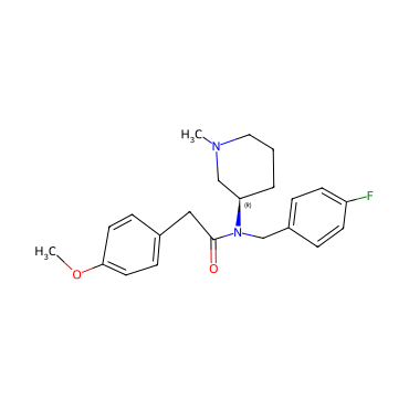 COc1ccc(CC(=O)N(Cc2ccc(F)cc2)[C@@H]2CCCN(C)C2)cc1